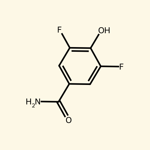 NC(=O)c1cc(F)c(O)c(F)c1